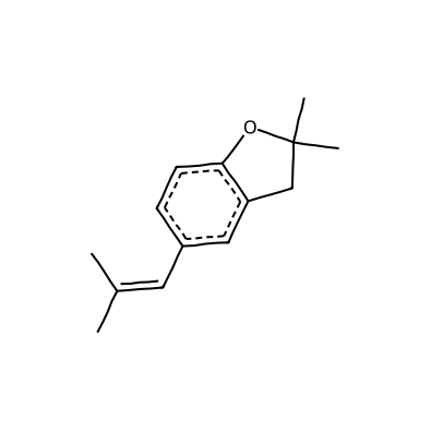 CC(C)=Cc1ccc2c(c1)CC(C)(C)O2